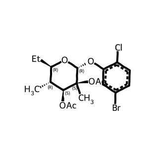 CC[C@H]1O[C@H](Oc2cc(Br)ccc2Cl)[C@@](C)(OC(C)=O)[C@@H](OC(C)=O)[C@@H]1C